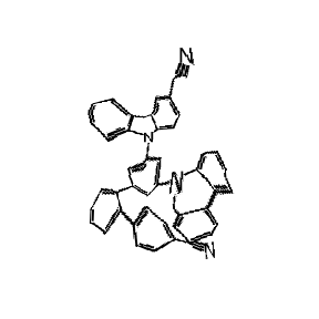 N#Cc1ccc(-c2ccccc2-c2cc(-n3c4ccccc4c4ccccc43)cc(-n3c4ccccc4c4cc(C#N)ccc43)c2)cc1